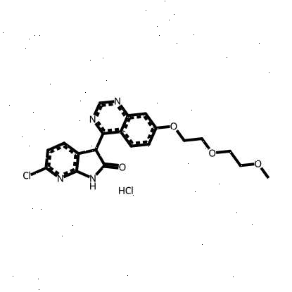 COCCOCCOc1ccc2c(C3C(=O)Nc4nc(Cl)ccc43)ncnc2c1.Cl